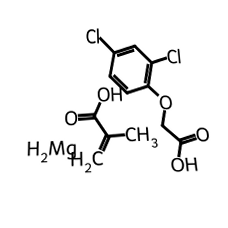 C=C(C)C(=O)O.O=C(O)COc1ccc(Cl)cc1Cl.[MgH2]